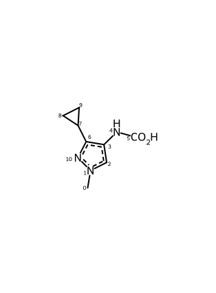 Cn1cc(NC(=O)O)c(C2CC2)n1